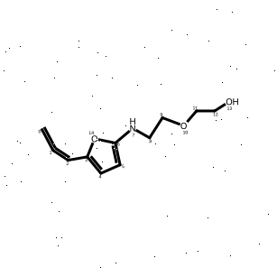 C=C=Cc1ccc(NCCOCCO)o1